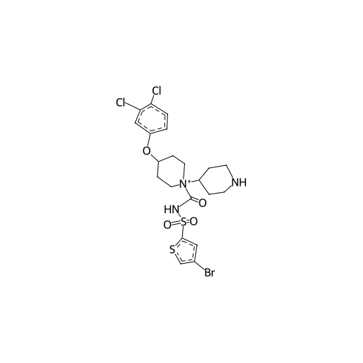 O=C(NS(=O)(=O)c1cc(Br)cs1)[N+]1(C2CCNCC2)CCC(Oc2ccc(Cl)c(Cl)c2)CC1